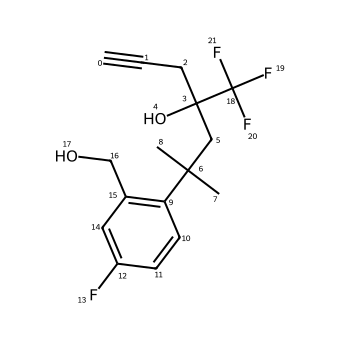 C#CCC(O)(CC(C)(C)c1ccc(F)cc1CO)C(F)(F)F